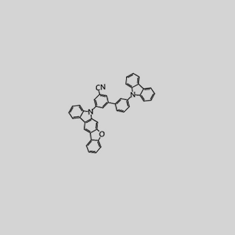 N#Cc1cc(-c2cccc(-n3c4ccccc4c4ccccc43)c2)cc(-n2c3ccccc3c3cc4c(cc32)oc2ccccc24)c1